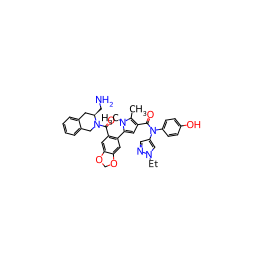 CCn1cc(N(C(=O)c2cc(-c3cc4c(cc3C(=O)N3Cc5ccccc5C[C@H]3CN)OCO4)n(C)c2C)c2ccc(O)cc2)cn1